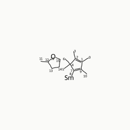 CC1=C(C)C(C)(C)[C]([Sm])=C1C.CC1CCCO1